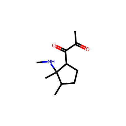 CNC1(C)C(C)CCC1C(=O)C(C)=O